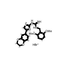 Br.COc1cccc(OC)c1CNC(=N)Nc1nc(-c2ccc3c(c2)OCCO3)cs1